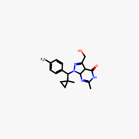 CC1=NC2C(C(=O)N1)C(CO)=NN2C(c1ccc(C(F)(F)F)cc1)C1(C)CC1